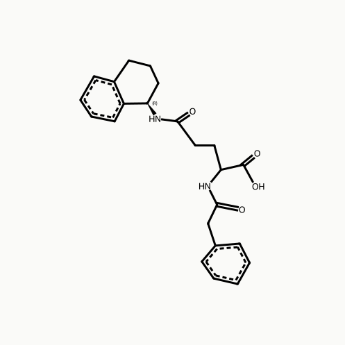 O=C(Cc1ccccc1)NC(CCC(=O)N[C@@H]1CCCc2ccccc21)C(=O)O